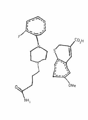 COc1ccc2c(c1)C=C(C(=O)O)CS2.NC(=O)CCCN1CCN(c2ccccc2F)CC1